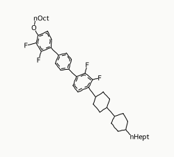 CCCCCCCCOc1ccc(-c2ccc(-c3ccc(C4CCC(C5CCC(CCCCCCC)CC5)CC4)c(F)c3F)cc2)c(F)c1F